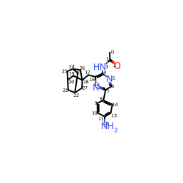 CC(=O)Nc1ncc(-c2ccc(N)cc2)nc1CC12CC3CC(CC(C3)C1)C2